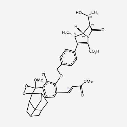 COC(=O)/C=C/c1ccc(C2(OC)OOC23C2CC4CC(C2)CC3C4)c(Cl)c1OCc1ccc(C2=C(C(=O)O)N3C(=O)[C@H]([C@@H](C)O)[C@H]3[C@H]2C)cc1